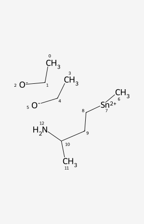 CC[O-].CC[O-].[CH3][Sn+2][CH2]CC(C)N